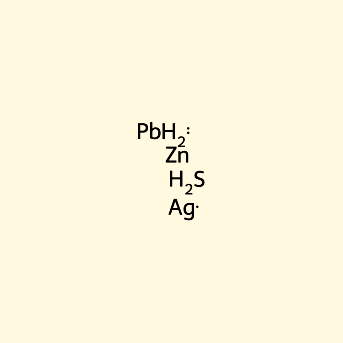 S.[Ag].[PbH2].[Zn]